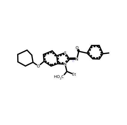 CCC(C(=O)O)n1/c(=N/C(=O)c2ccc(C)cc2)sc2ccc(OC3CCCCC3)cc21